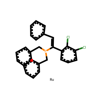 Clc1cccc(C(=Cc2ccccc2)P(Cc2ccccc2)Cc2ccccc2)c1Cl.[Ru]